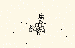 CC1=Nc2cnc3cc(F)c(-c4ccc(Oc5nccc(C)n5)cc4Cl)cc3c2[N+]1([O-])C1CCN(S(C)(=O)=O)CC1